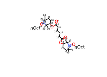 CCCCCCCCON1C(C)(C)CCC(OC(=O)CCCCC(=O)OC2CCC(C)(C)N(OCCCCCCCC)C2(C)C)C1(C)C